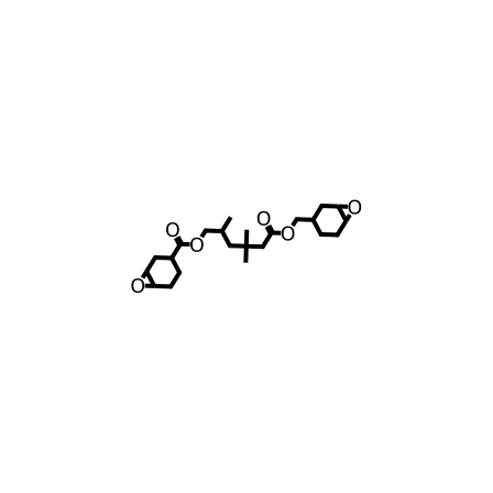 CC(COC(=O)C1CCC2OC2C1)CC(C)(C)CC(=O)OCC1CCC2OC2C1